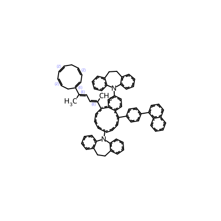 CC(=C\C=C(/C)c1cccc(N2c3ccccc3CCc3ccccc32)ccc(-c2ccc(-c3cccc4ccccc34)cc2)c2ccc(N3c4ccccc4CCc4ccccc43)cc12)/C1=C/C=C\C/C=C\C=C/C1